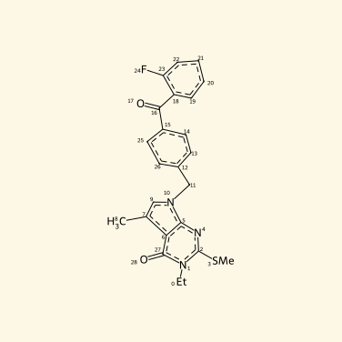 CCn1c(SC)nc2c(c(C)cn2Cc2ccc(C(=O)c3ccccc3F)cc2)c1=O